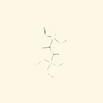 CCO[Si](OCC)(OCC)C(C)C(C)[Si](OCC)(OCC)OCC